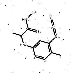 Cc1ccc(NC(C)C(=O)NCl)cc1N=C=O